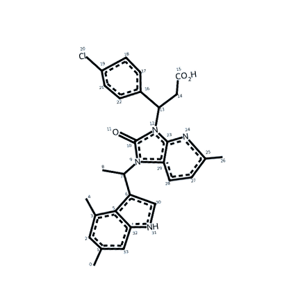 Cc1cc(C)c2c(C(C)n3c(=O)n(C(CC(=O)O)c4ccc(Cl)cc4)c4nc(C)ccc43)c[nH]c2c1